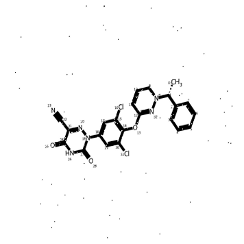 C[C@H](c1ccccc1)N1CC=CC(Oc2c(Cl)cc(-n3nc(C#N)c(=O)[nH]c3=O)cc2Cl)=N1